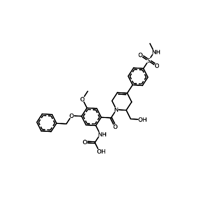 CNS(=O)(=O)c1ccc(C2=CCN(C(=O)c3cc(OC)c(OCc4ccccc4)cc3NC(=O)O)C(CO)C2)cc1